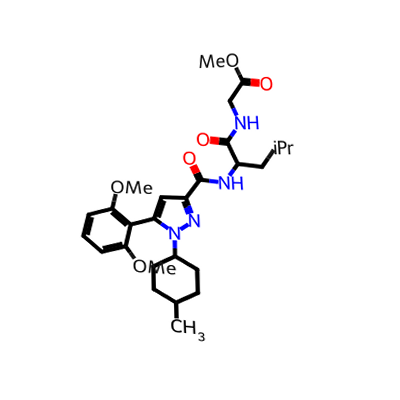 COC(=O)CNC(=O)C(CC(C)C)NC(=O)c1cc(-c2c(OC)cccc2OC)n(C2CCC(C)CC2)n1